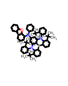 CC(C)(C)c1ccccc1N1c2cc(N(c3ccccc3)c3cccc4c3oc3ccccc34)cc3c2B(c2cccc(C(C)(C)C)c21)c1cccc(C(C)(C)C)c1N3c1ccccc1C(C)(C)C